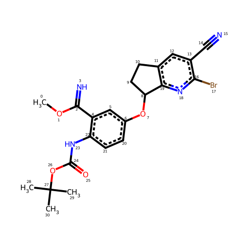 COC(=N)c1cc(OC2CCc3cc(C#N)c(Br)nc32)ccc1NC(=O)OC(C)(C)C